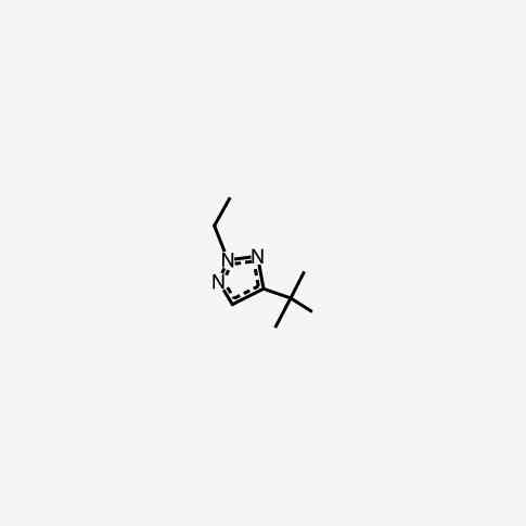 CCn1ncc(C(C)(C)C)n1